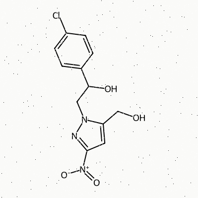 O=[N+]([O-])c1cc(CO)n(CC(O)c2ccc(Cl)cc2)n1